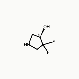 O[C@@H]1CNCC1(F)F